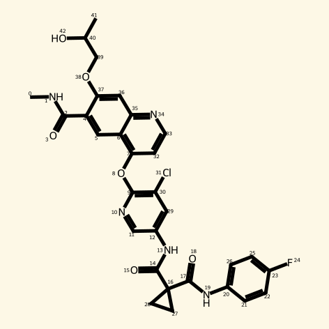 CNC(=O)c1cc2c(Oc3ncc(NC(=O)C4(C(=O)Nc5ccc(F)cc5)CC4)cc3Cl)ccnc2cc1OCC(C)O